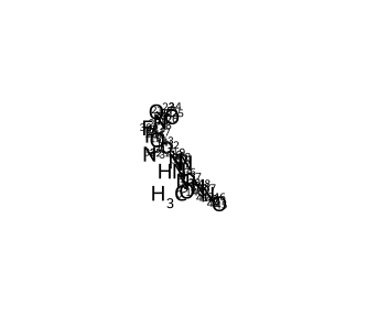 COc1nc(Nc2nccc(-c3ccc(OC4CCN(C(=O)[C@@H]5CCCO5)CC4(F)F)c(C#N)c3)n2)ccc1N1CCN(C2COC2)CC1